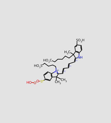 CC1(C)C(/C=C/C=C/C=C2/Nc3ccc(S(=O)(=O)O)cc3C2(C)CCCCCC(=O)O)=[N+](CCCCS(=O)(=O)O)c2ccc(SOOO)cc21